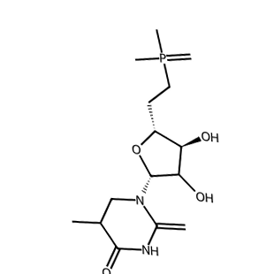 C=C1NC(=O)C(C)CN1[C@@H]1O[C@H](CCP(=C)(C)C)[C@@H](O)C1O